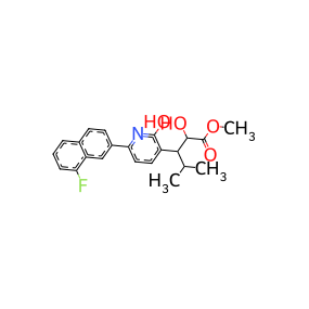 COC(=O)C(O)C(c1ccc(-c2ccc3cccc(F)c3c2)nc1O)C(C)C